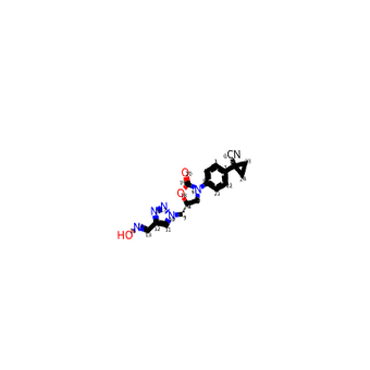 N#CC1(c2ccc(N3C[C@H](Cn4cc(C=NO)nn4)OC3=O)cc2)CC1